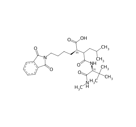 CNC(=O)[C@@H](NC(=O)C(CC(C)C)[C@@H](CCCCN1C(=O)c2ccccc2C1=O)C(=O)O)C(C)(C)C